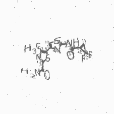 Cc1nc(C(N)=O)sc1-c1csc(NC(=O)C2CC2(F)F)n1